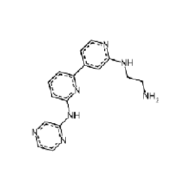 NCCNc1cc(-c2cccc(Nc3cnccn3)n2)ccn1